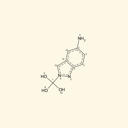 Nc1ccc2nn(C(O)(O)O)cc2c1